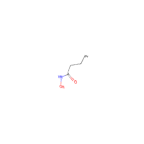 CC(C)CCC(=O)NO